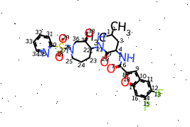 CC(C)CC(NC(=O)c1cc2cc(F)c(F)cc2o1)C(=O)NC1CCCN(S(=O)(=O)c2ccccn2)CC1=O